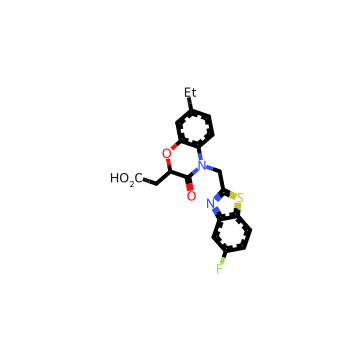 CCc1ccc2c(c1)OC(CC(=O)O)C(=O)N2Cc1nc2cc(F)ccc2s1